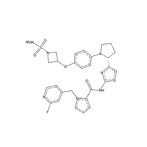 CNS(=O)(=O)N1CC(Oc2ccc(N3CCC[C@@H]3c3csc(NC(=O)c4cccn4Cc4ccnc(F)c4)n3)cc2)C1